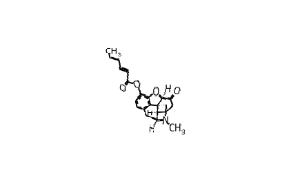 C/C=C/C=C/C(=O)Oc1ccc2c3c1O[C@H]1C(=O)CC45C[C@]31[C@@H]4[C@@H](C2)N5C